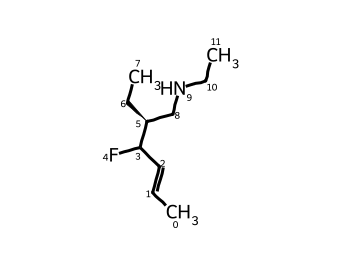 CC=CC(F)[C@@H](CC)CNCC